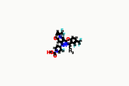 C[C@@H](NC(=O)c1cn(C2(C(F)F)CC2)c(=O)cc1N[C@@H]1CCN(C(=O)O)C[C@@H]1F)c1cccc(C(F)F)c1F